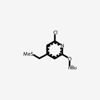 CCCCOc1cc(CSC)cc(Cl)n1